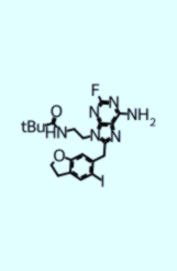 CC(C)(C)C(=O)NCCn1c(Cc2cc3c(cc2I)CCO3)nc2c(N)nc(F)nc21